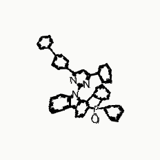 O=P1(c2ccccc2)c2ccccc2-c2c1ccc1c3ccccc3n(-c3nc(-c4ccccc4)cc(-c4ccc(-c5ccccc5)cc4)n3)c21